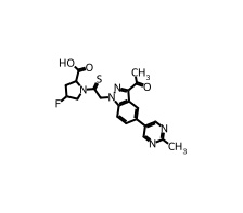 CC(=O)c1nn(CC(=S)N2CC(F)CC2C(=O)O)c2ccc(-c3cnc(C)nc3)cc12